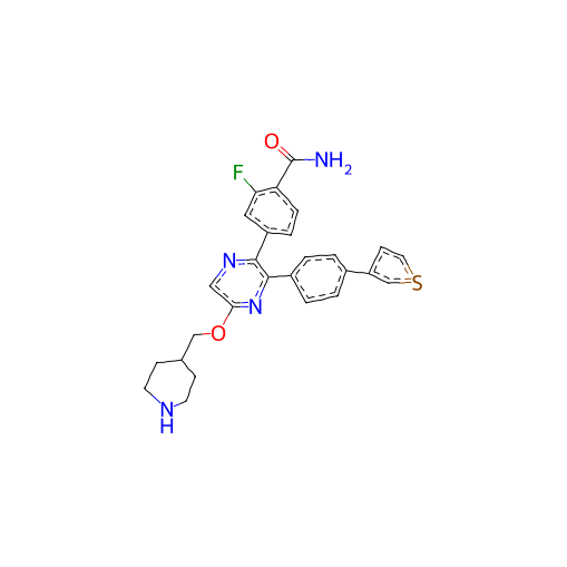 NC(=O)c1ccc(-c2ncc(OCC3CCNCC3)nc2-c2ccc(-c3ccsc3)cc2)cc1F